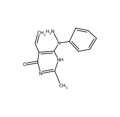 C=Cc1c(N(N)c2ccccc2)[nH]c(C)nc1=O